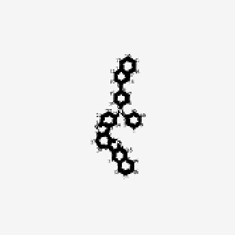 c1ccc(N(c2ccc(-c3ccc4ccccc4c3)cc2)c2ccc3sc4ccc5c6cc7ccccc7cc6sc5c4c3c2)cc1